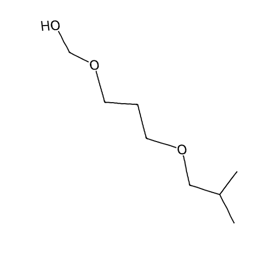 CC(C)COCCCOCO